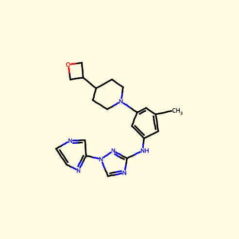 Cc1cc(Nc2ncn(-c3cnccn3)n2)cc(N2CCC(C3COC3)CC2)c1